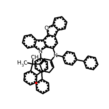 CC1(C)C2=CC(N(c3ccc(-c4ccccc4)cc3)c3cc4c5ccccc5oc4c4c5ccccc5n(-c5ccc(-c6ccccc6)cc5)c34)=CCC2c2ccccc21